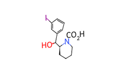 O=C(O)N1CCCC[C@H]1[C@@H](O)c1cccc(I)c1